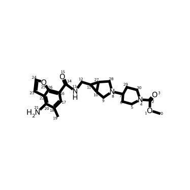 COC(=O)N1CCC(N2CC3C(CNC(=O)c4cc(C)c(N)c5ccoc45)C3C2)CC1